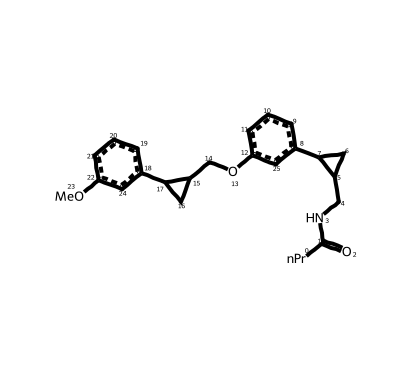 CCCC(=O)NCC1CC1c1cccc(OCC2CC2c2cccc(OC)c2)c1